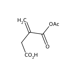 C=C(CC(=O)O)C(=O)OC(C)=O